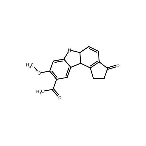 COc1cc2c(cc1C(C)=O)C1C3=C(C=CC1[N]2)C(=O)CC3